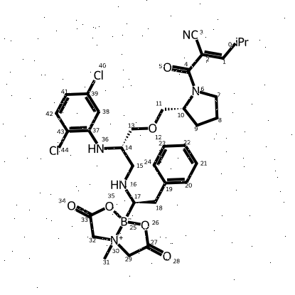 CC(C)C=C(C#N)C(=O)N1CCC[C@@H]1COC[C@H](CN[C@@H](Cc1ccccc1)[B-]12OC(=O)C[N+]1(C)CC(=O)O2)Nc1cc(Cl)ccc1Cl